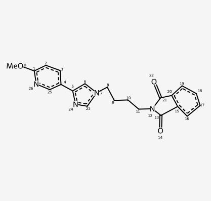 COc1ccc(-c2cn(CCCCN3C(=O)c4ccccc4C3=O)cn2)cn1